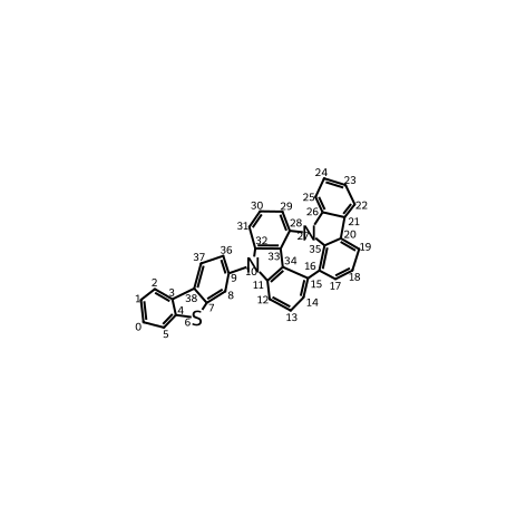 c1ccc2c(c1)sc1cc(-n3c4cccc5c6cccc7c8ccccc8n(c8cccc3c8c54)c67)ccc12